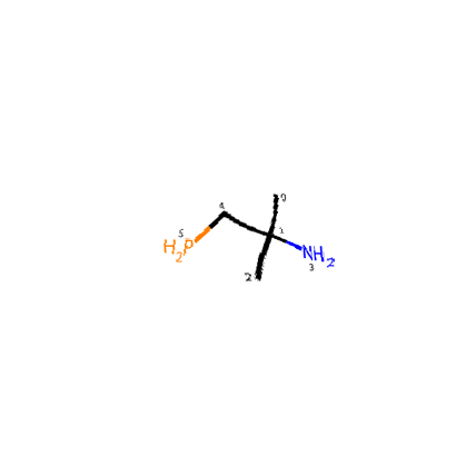 CC(C)(N)CP